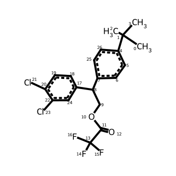 CC(C)(C)c1ccc(C(COC(=O)C(F)(F)F)c2ccc(Cl)c(Cl)c2)cc1